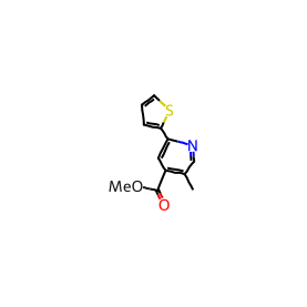 COC(=O)c1cc(-c2cccs2)ncc1C